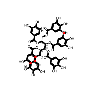 O=C(OC[C@@H](OC(=O)c1cc(O)c(O)c(O)c1)[C@@H](OC(=O)c1cc(O)c(O)c(O)c1)[C@H](OC(=O)c1cc(O)c(O)c(O)c1)[C@@H](OC(=O)c1cc(O)c(O)c(O)c1)C(=O)C(=O)c1cc(O)c(O)c(O)c1)c1cc(O)c(O)c(O)c1